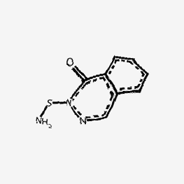 NSn1ncc2ccccc2c1=O